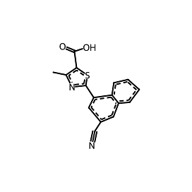 Cc1nc(-c2cc(C#N)cc3ccccc23)sc1C(=O)O